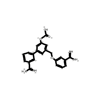 N=C(N)c1cccc(OCc2cc(OC(=O)O)cc(-c3cccc(C(=N)N)c3)c2)c1